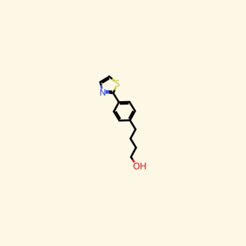 OCCCCc1ccc(-c2nccs2)cc1